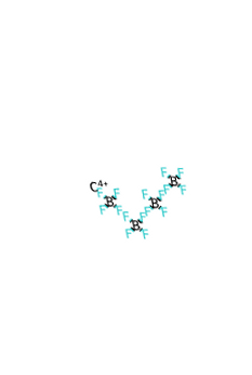 F[B-](F)(F)F.F[B-](F)(F)F.F[B-](F)(F)F.F[B-](F)(F)F.[C+4]